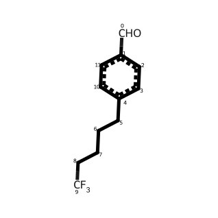 O=Cc1ccc(CCCCC(F)(F)F)cc1